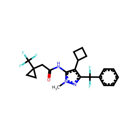 Cn1nc(C(F)(F)c2ccccc2)c(C2CCC2)c1NC(=O)CC1(C(F)(F)F)CC1